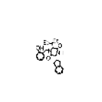 CCC(CC)[C@@H]1C(=O)N[C@H](C2Cc3ccccc3C2)C(=O)N1Cc1ccccc1O